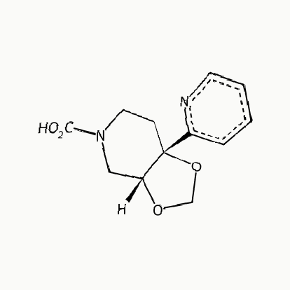 O=C(O)N1CC[C@]2(c3ccccn3)OCO[C@@H]2C1